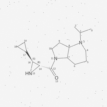 CC(C)N1CCCC2C1CCN2C(=O)[C@@H]1N[C@H]1C1CC1